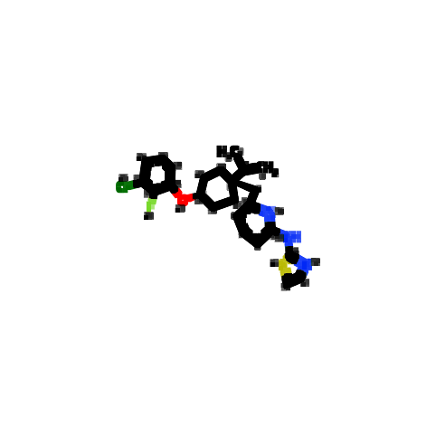 C=C(C)[C@]1(Cc2cccc(Nc3nccs3)n2)CC[C@@H](Oc2cccc(Cl)c2F)CC1